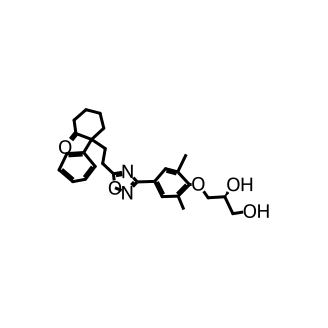 Cc1cc(-c2noc(CCC3(c4ccccc4)CCCCC3=O)n2)cc(C)c1OC[C@@H](O)CO